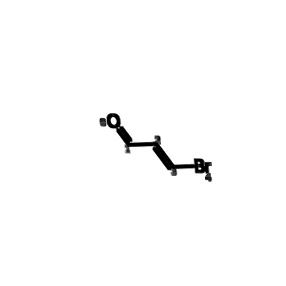 O=CC=CBr